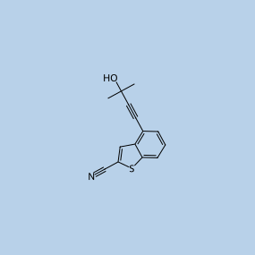 CC(C)(O)C#Cc1cccc2sc(C#N)cc12